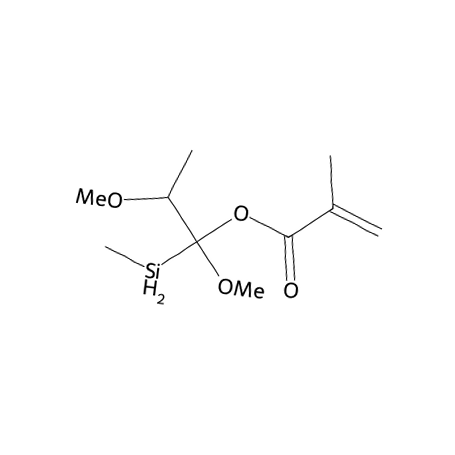 C=C(C)C(=O)OC(OC)([SiH2]C)C(C)OC